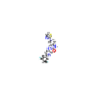 CN(C(=O)Nc1ccc(-c2cc(F)cc(F)c2)nc1)C1CCN(c2nccs2)CC1